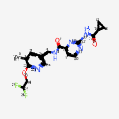 CC(C)c1cc(CNC(=O)c2ccnc(NC(=O)C3CC3)n2)cnc1OCC(F)F